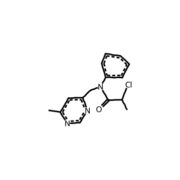 Cc1cc(CN(C(=O)C(C)Cl)c2ccccc2)ncn1